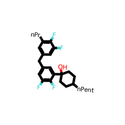 CCCCCC1CCC(O)(c2cc(Cc3cc(F)c(F)c(CCC)c3)cc(F)c2F)CC1